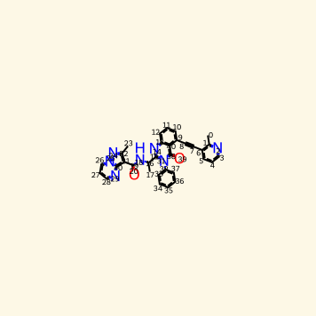 Cc1ncccc1C#Cc1cccc2nc(C(C)NC(=O)c3c(C)nn4cccnc34)n(-c3ccccc3)c(=O)c12